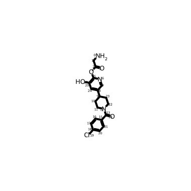 NCC(=O)Oc1ncc(C2CCN(C(=O)c3ccc(Cl)cc3)CC2)cc1O